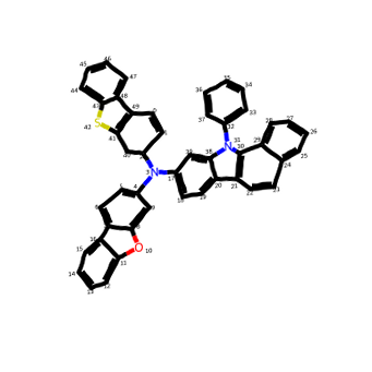 C1=CC(N(c2ccc3c(c2)oc2ccccc23)c2ccc3c4ccc5ccccc5c4n(-c4ccccc4)c3c2)Cc2sc3ccccc3c21